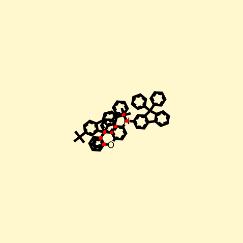 CC(C)(C)c1ccc2c(c1)C1(c3ccccc3Oc3ccc(N(c4ccc5c(c4)C(c4ccccc4)(c4ccccc4)c4ccccc4-5)c4ccccc4-c4ccc(-c5ccccc5)cc4)cc31)c1cc(C(C)(C)C)ccc1-2